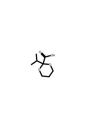 CC(C)C1(C(=O)O)OC[CH]CO1